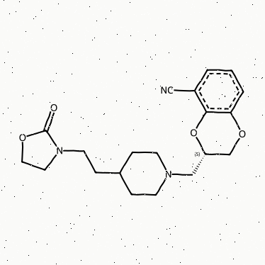 N#Cc1cccc2c1O[C@@H](CN1CCC(CCN3CCOC3=O)CC1)CO2